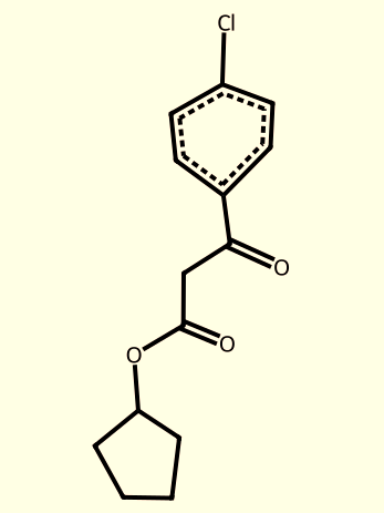 O=C(CC(=O)c1ccc(Cl)cc1)OC1CCCC1